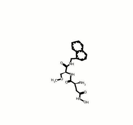 COC[C@H](NC(=O)[C@@H](N)CC(=O)NO)C(=O)NCc1cccc2ccccc12